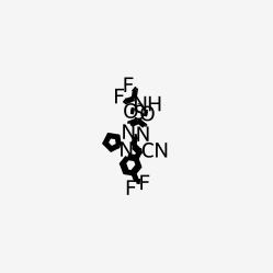 N#Cc1c(-c2ncc(S(=O)(=O)NC(CF)CF)cn2)n(C2CCCC2)c2ccc(C(F)F)cc12